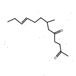 CCC=CCCC(C)CC(=O)CCC(C)=O